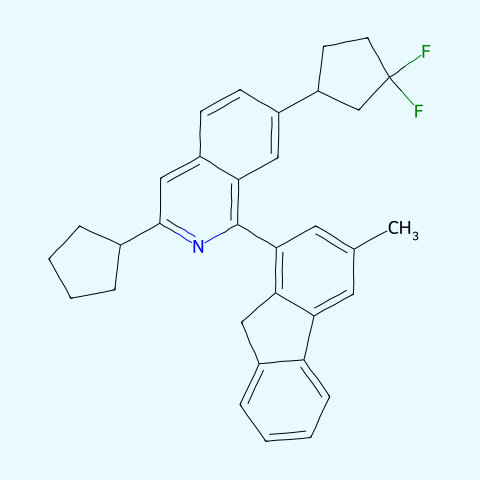 Cc1cc2c(c(-c3nc(C4CCCC4)cc4ccc(C5CCC(F)(F)C5)cc34)c1)Cc1ccccc1-2